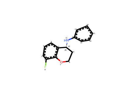 Fc1cccc2c1OCC[C@H]2Nc1ccccc1